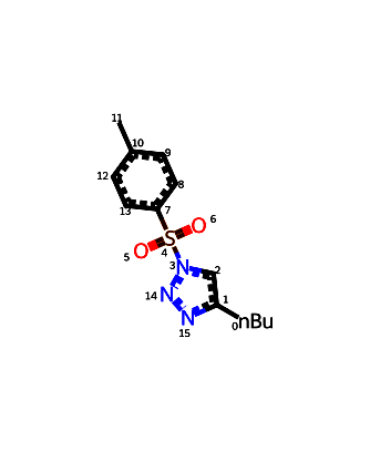 CCCCc1cn(S(=O)(=O)c2ccc(C)cc2)nn1